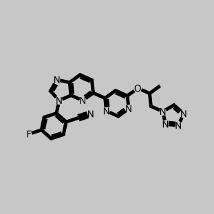 CC(Cn1cnnn1)Oc1cc(-c2ccc3ncn(-c4cc(F)ccc4C#N)c3n2)ncn1